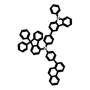 c1ccc(-n2c3ccccc3c3cc(-c4ccc(N(c5ccc(-c6cccc7c6ccc6ccccc67)cc5)c5cccc6c5-c5ccccc5C6(c5ccccc5)c5ccccc5)cc4)ccc32)cc1